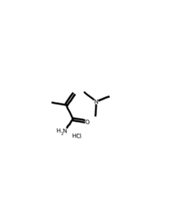 C=C(C)C(N)=O.CN(C)C.Cl